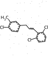 Cc1cc(CC=Cc2c(Cl)cccc2Cl)ccc1Cl